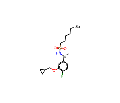 C[C@@H](NS(=O)(=O)CCCCCC(C)(C)C)c1ccc(F)c(OCC2CC2)c1